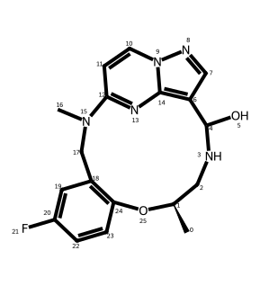 C[C@@H]1CNC(O)c2cnn3ccc(nc23)N(C)Cc2cc(F)ccc2O1